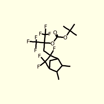 CC1C(C)C2CC1C(F)(F)C2(F)CC(OC(=O)OC(C)(C)C)(C(F)(F)F)C(F)(F)F